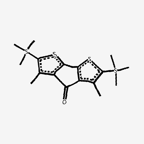 Cc1c(S(C)(C)C)sc2c1C(=O)c1c-2sc(S(C)(C)C)c1C